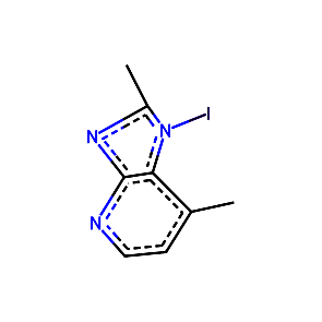 Cc1ccnc2nc(C)n(I)c12